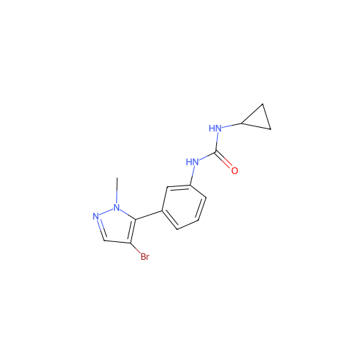 Cn1ncc(Br)c1-c1cccc(NC(=O)NC2CC2)c1